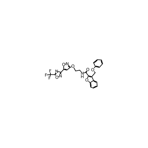 O=C(NCCOc1cc(-c2noc(C(F)(F)F)n2)on1)c1oc2ccccc2c1COc1ccccc1